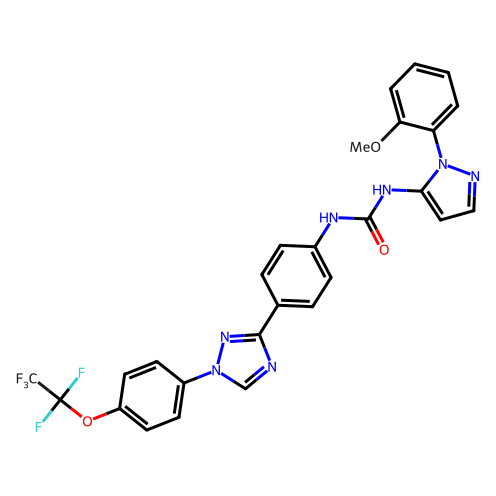 COc1ccccc1-n1nccc1NC(=O)Nc1ccc(-c2ncn(-c3ccc(OC(F)(F)C(F)(F)F)cc3)n2)cc1